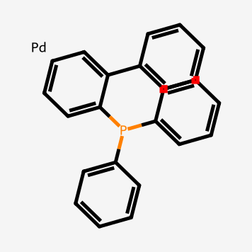 [Pd].c1ccc(-c2ccccc2P(c2ccccc2)c2ccccc2)cc1